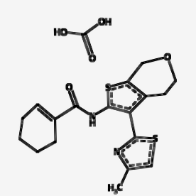 Cc1csc(-c2c(NC(=O)C3=CCCCC3)sc3c2CCOC3)n1.O=C(O)O